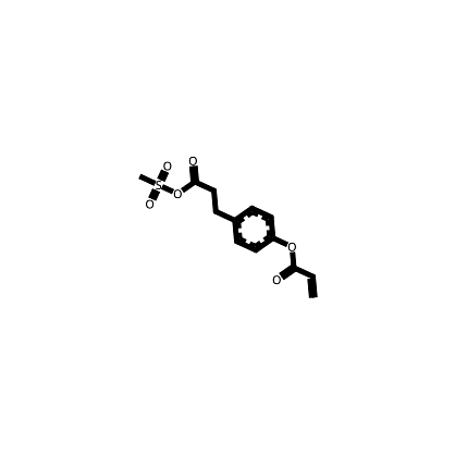 C=CC(=O)Oc1ccc(CCC(=O)OS(C)(=O)=O)cc1